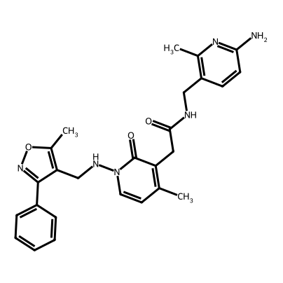 Cc1ccn(NCc2c(-c3ccccc3)noc2C)c(=O)c1CC(=O)NCc1ccc(N)nc1C